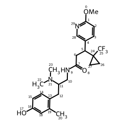 COc1ccc(C(CC(=O)NCC(Cc2ccc(O)cc2C)N(C)C)C2(C(F)(F)F)CC2)cn1